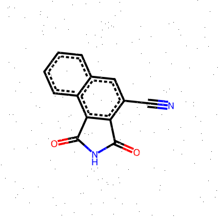 N#Cc1cc2ccccc2c2c1C(=O)NC2=O